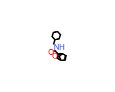 O=C1C2C=CC1C(C(=O)NCC1CCCCC1)C2